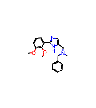 COc1cccc(-c2ncc(CN(C)Cc3ccccc3)[nH]2)c1OC